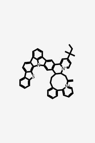 C=C1CC2C(CCc3ccccc3-c3cccc[n+]31)c1cc3c(cc1-c1cc(C(C)(C)CC)cc[n+]12)c1cccc2c4ccc5c6ccccc6sc5c4n3c12